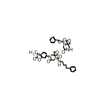 Cn1c(=O)oc2cc(N3CC4(COC4)N(C(=O)NCCCCc4ccccc4)CC3=O)ccc21.O=C1CN(C(=O)OCc2ccccc2)C2(CN1)COC2